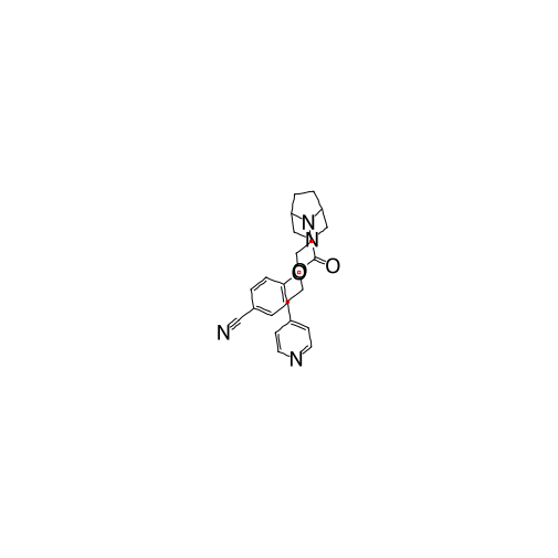 N#Cc1ccc(OCCN2C3CCC2CN(C(=O)OCCc2ccncc2)C3)cc1